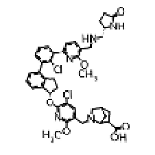 COc1nc(-c2cccc(-c3cccc4c3CC[C@@H]4Oc3nc(OC)c(CN4CC5CC(C(=O)O)C4C5)cc3Cl)c2Cl)ccc1CNC[C@@H]1CCC(=O)N1